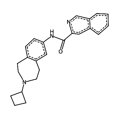 O=C(Nc1ccc2c(c1)CCN(C1CCC1)CC2)c1cc2ccccc2cn1